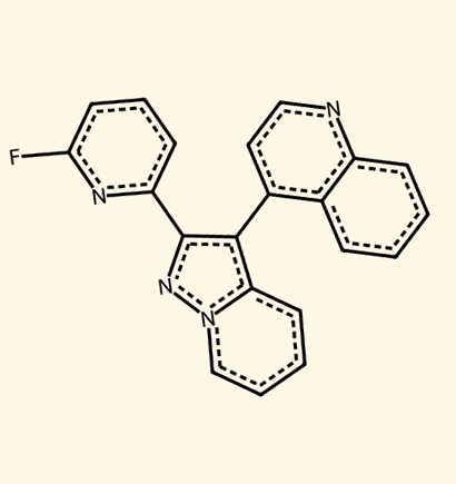 Fc1cccc(-c2nn3ccccc3c2-c2ccnc3ccccc23)n1